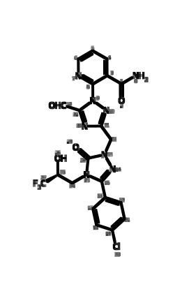 NC(=O)c1cccnc1-n1nc(Cn2nc(-c3ccc(Cl)cc3)n(C[C@H](O)C(F)(F)F)c2=O)nc1C=O